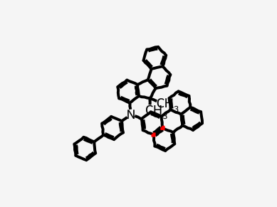 CC1(C)c2ccc3ccccc3c2-c2cccc(N(c3ccc(-c4ccccc4)cc3)c3cccc(-c4cccc5cccc(-c6ccccc6)c45)c3)c21